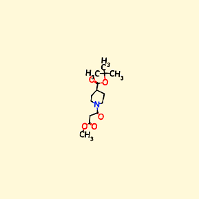 COC(=O)CC(=O)N1CCC(C(=O)OC(C)(C)C)CC1